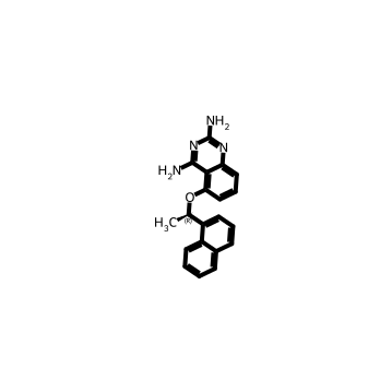 C[C@@H](Oc1cccc2nc(N)nc(N)c12)c1cccc2ccccc12